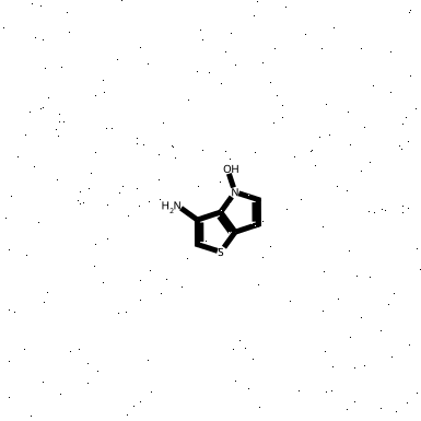 Nc1csc2ccn(O)c12